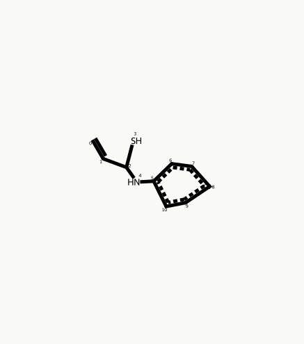 C=CC(S)Nc1cc[c]cc1